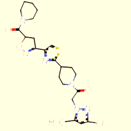 Cc1cc(C(F)(F)F)nn1CC(=O)N1CCC(c2nc(C3=NOC(C(=O)N4CCCCC4)C3)cs2)CC1